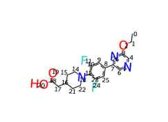 CCOc1cncc(-c2cc(F)c(N3CCC(CC(=O)O)CC3)c(F)c2)n1